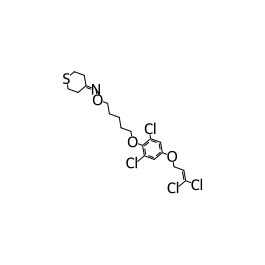 ClC(Cl)=CCOc1cc(Cl)c(OCCCCCON=C2CCSCC2)c(Cl)c1